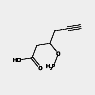 C#CCC(CC(=O)O)OP